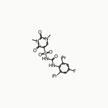 CC(C)c1cc(F)cc(C(C)C)c1NC(=O)NS(=O)(=O)c1cn(C)c(=O)n(C)c1=O